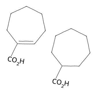 O=C(O)C1=CCCCCC1.O=C(O)C1CCCCCC1